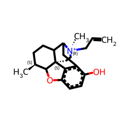 C=CC[N@@+]1(C)CC[C@@]23c4c5ccc(O)c4CC1C2CC[C@H](C)C3O5